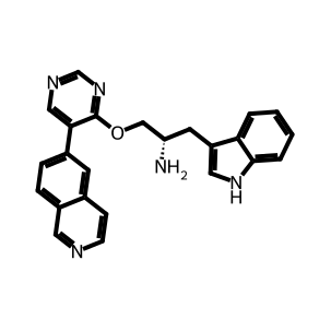 N[C@H](COc1ncncc1-c1ccc2cnccc2c1)Cc1c[nH]c2ccccc12